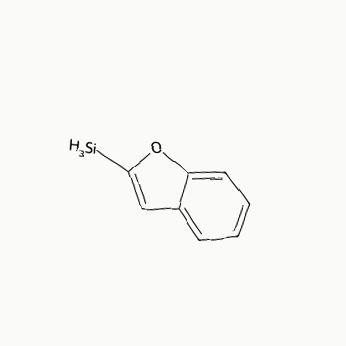 [SiH3]c1cc2ccccc2o1